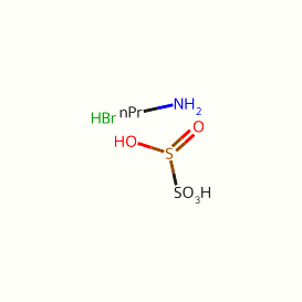 Br.CCCN.O=S(O)S(=O)(=O)O